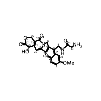 COc1ccc2nc3c(c(CNC(=O)CN)c2c1)Cn1c-3cc2c(c1=O)COC(=O)[C@H]2O